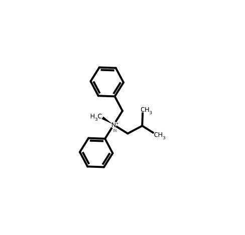 CC(C)C[N@@+](C)(Cc1ccccc1)c1ccccc1